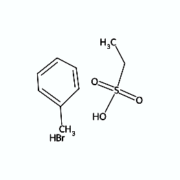 Br.CCS(=O)(=O)O.Cc1ccccc1